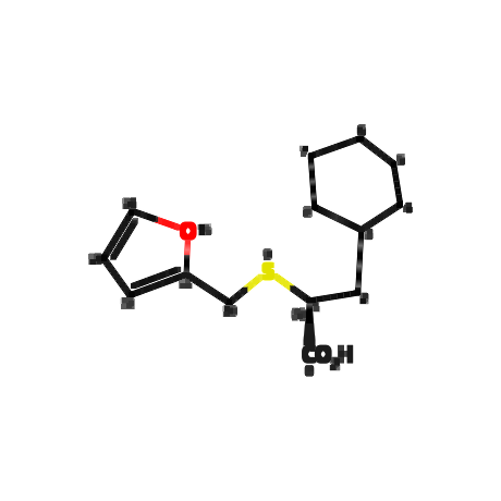 O=C(O)[C@H](CC1CCCCC1)SCc1ccco1